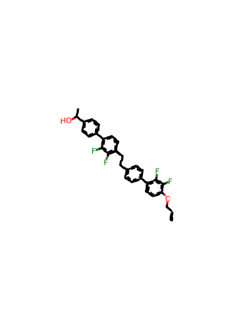 C=CCOc1ccc(-c2ccc(CCc3ccc(-c4ccc(C(C)O)cc4)c(F)c3F)cc2)c(F)c1F